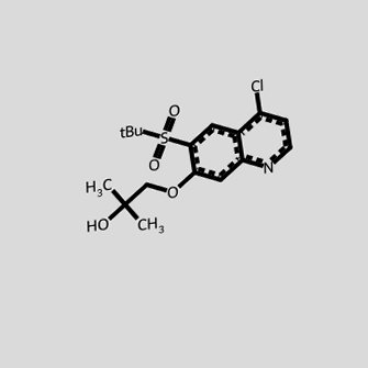 CC(C)(O)COc1cc2nccc(Cl)c2cc1S(=O)(=O)C(C)(C)C